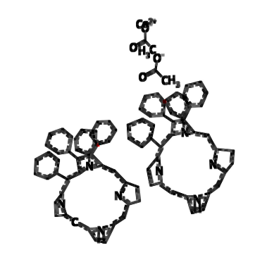 C1=Cc2cc3c(-c4ccccc4)c(-c4ccccc4)c(c(-c4ccccc4)c4nc(cc5ccc(cc1n2)[nH]5)C=C4)n3-c1ccccc1.C1=Cc2cc3c(-c4ccccc4)c(-c4ccccc4)c(c(-c4ccccc4)c4nc(cc5ccc(cc1n2)[nH]5)C=C4)n3-c1ccccc1.CC(=O)[O-].CC(=O)[O-].[Co+2]